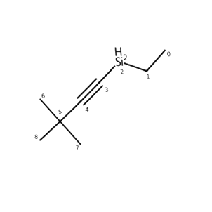 CC[SiH2]C#CC(C)(C)C